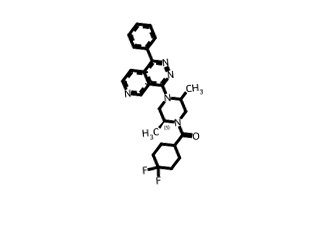 CC1CN(C(=O)C2CCC(F)(F)CC2)[C@@H](C)CN1c1nnc(-c2ccccc2)c2ccncc12